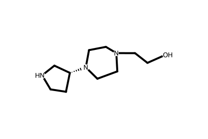 OCCN1CCN([C@@H]2CCNC2)CC1